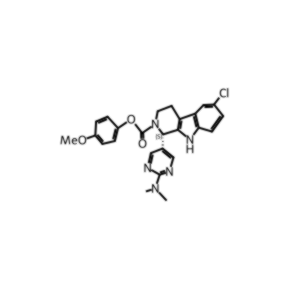 COc1ccc(OC(=O)N2CCc3c([nH]c4ccc(Cl)cc34)[C@@H]2c2cnc(N(C)C)nc2)cc1